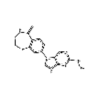 CCC(C)Nc1ncc2c(-c3ccc4c(c3)OCCNC4=O)c[nH]c2n1